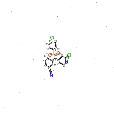 N#Cc1ccc(F)c(C(c2ccnc(Cl)c2)S(=O)(=O)c2ccc(Cl)cc2)c1